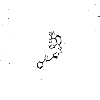 O=C(O)c1cccc(N2CC(Oc3ccc(CNc4ccccc4)cc3)C2)c1-n1cccc1